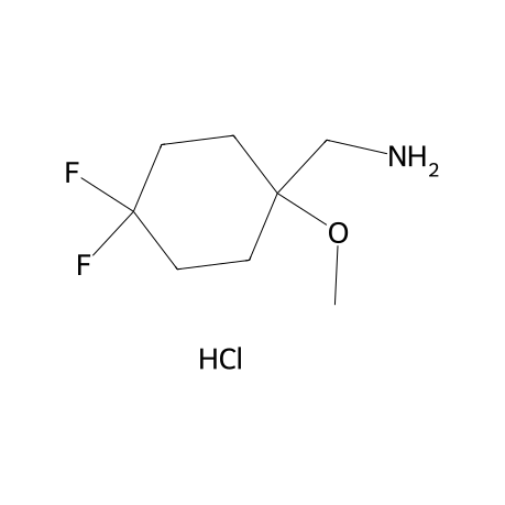 COC1(CN)CCC(F)(F)CC1.Cl